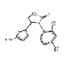 O=C1OCC(c2ccc(Cl)s2)=C1c1ccc(Cl)cc1Cl